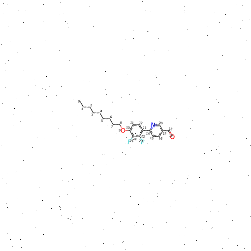 CCCCCCCCCOc1ccc(-c2ccc(C=O)cn2)c(F)c1F